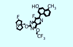 Cc1cccc2c(-c3ncc4c(OCC(F)(F)F)nc(OC[C@@]56CCCN5C[C@H](F)C6)nc4c3F)cc(O)cc12